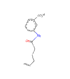 CCCCCCCCCCCCC(=O)Nc1cccc(C(=O)O)c1